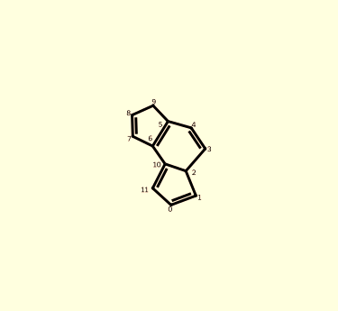 C1=CC2C=CC3=C(C=CC3)C2=C1